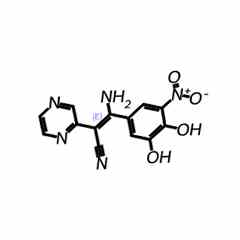 N#C/C(=C(/N)c1cc(O)c(O)c([N+](=O)[O-])c1)c1cnccn1